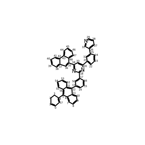 C1=CCCC(c2c3ccccc3c(-c3cccc(-c4nc(-c5cccc(-c6cccnc6)c5)cc(-c5cc6ccccc6c6ccccc56)n4)c3)c3ccccc23)=C1